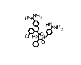 N=C(N)c1ccc(CNC(=O)C(NC(=O)[C@@H](Cc2ccc(C(=N)N)cc2)c2cccc(Cl)c2)C2CCCCC2)cc1